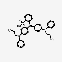 CCCN(c1ccccc1)c1ccc(C(=C2C=CC(=[N+](CCC)c3ccccc3)C=C2)c2ccccc2S(=O)(=O)O)cc1